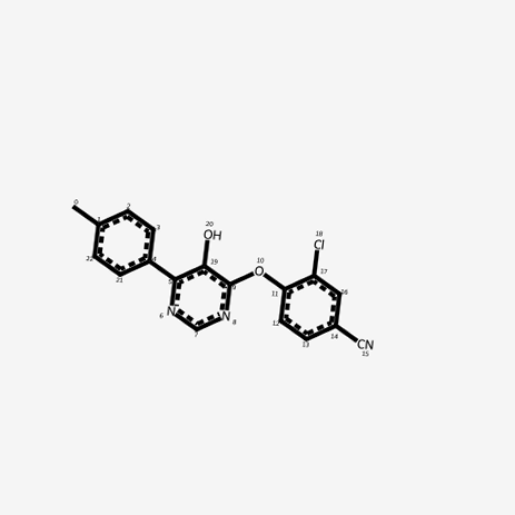 Cc1ccc(-c2ncnc(Oc3ccc(C#N)cc3Cl)c2O)cc1